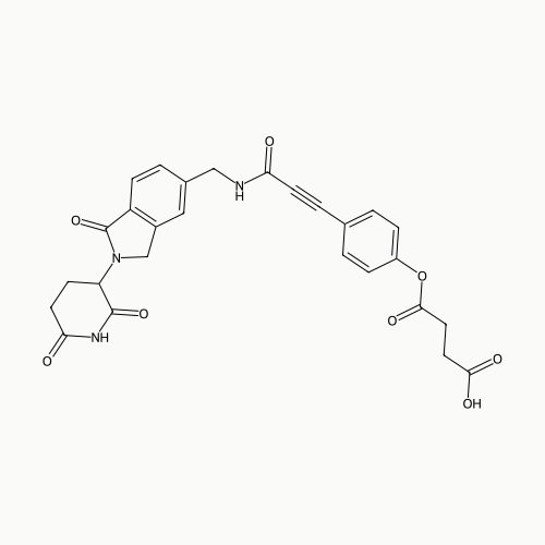 O=C(O)CCC(=O)Oc1ccc(C#CC(=O)NCc2ccc3c(c2)CN(C2CCC(=O)NC2=O)C3=O)cc1